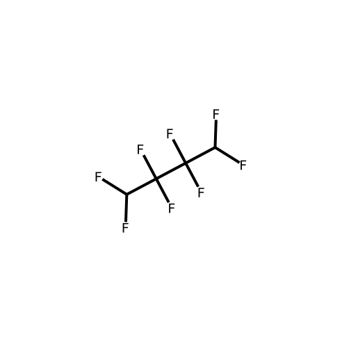 FC(F)C(F)(F)C(F)(F)C(F)F